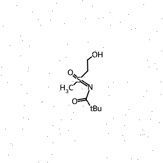 CC(C)(C)C(=O)N=S(C)(=O)CCO